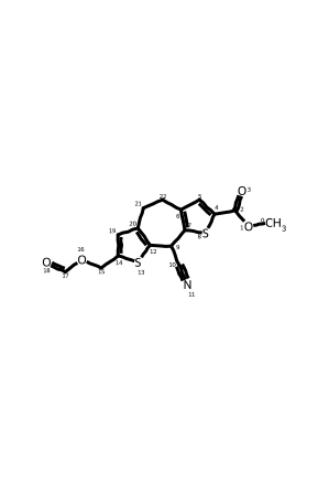 COC(=O)c1cc2c(s1)C(C#N)c1sc(COC=O)cc1CC2